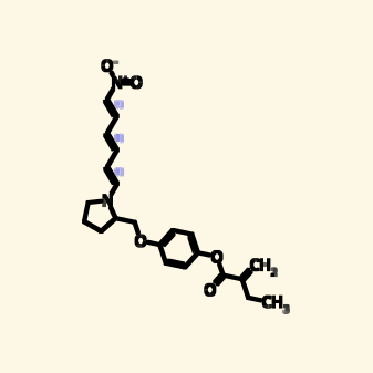 C=C(CC)C(=O)Oc1ccc(OCC2CCCN2/C=C/C=C/C=C/[N+](=O)[O-])cc1